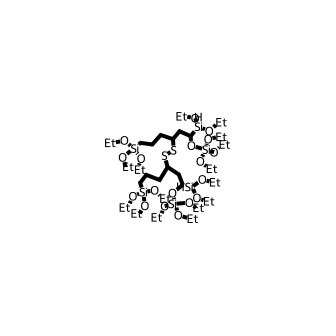 CCO[SiH](OCC)C(CC(CCC[Si](OCC)(OCC)OCC)SSC(CCC[Si](OCC)(OCC)OCC)CC(O[Si](OCC)(OCC)OCC)[SiH](OCC)OCC)O[Si](OCC)(OCC)OCC